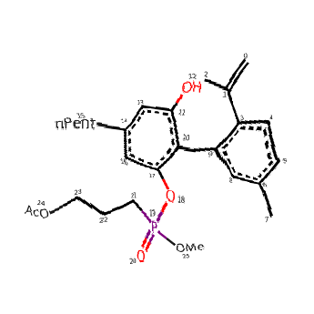 C=C(C)c1ccc(C)cc1-c1c(O)cc(CCCCC)cc1OP(=O)(CCCOC(C)=O)OC